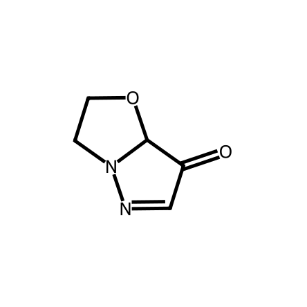 O=C1C=NN2CCOC12